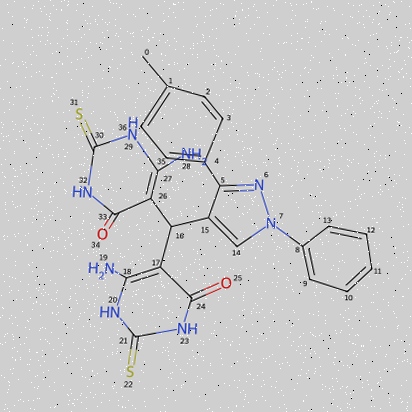 Cc1ccc(-c2nn(-c3ccccc3)cc2C(c2c(N)[nH]c(=S)[nH]c2=O)c2c(N)[nH]c(=S)[nH]c2=O)cc1